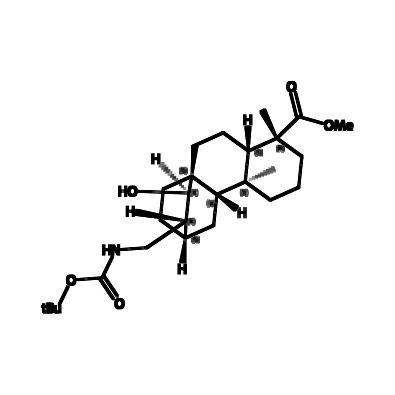 COC(=O)[C@]1(C)CCC[C@@]2(C)[C@@H]3C[C@@H]4CC[C@@]3(CC[C@@H]21)[C@H](O)[C@H]4CNC(=O)OC(C)(C)C